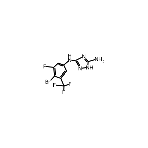 Nc1nc(Nc2cc(F)c(Br)c(C(F)(F)F)c2)n[nH]1